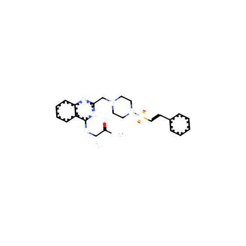 COC(=O)[C@@H](Nc1nc(CN2CCN(S(=O)(=O)/C=C/c3ccccc3)CC2)nc2ccccc12)C(C)C